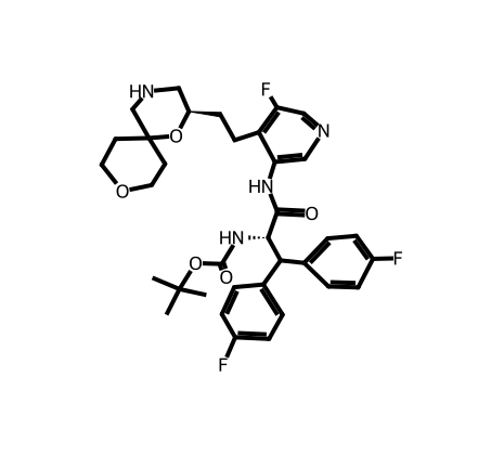 CC(C)(C)OC(=O)N[C@H](C(=O)Nc1cncc(F)c1CC[C@@H]1CNCC2(CCOCC2)O1)C(c1ccc(F)cc1)c1ccc(F)cc1